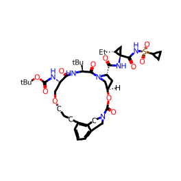 CC[C@@H]1C[C@]1(NC(=O)[C@@H]1C[C@@H]2CN1C(=O)[C@H](C(C)(C)C)NC(=O)[C@@H](NC(=O)OC(C)(C)C)COCCCc1cccc3c1CN(C3)C(=O)O2)C(=O)NS(=O)(=O)C1CC1